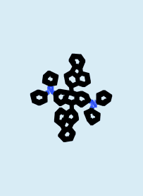 C1=CC2c3ccccc3C3=CC=C(c4c5cc(N(c6ccccc6)c6ccccc6)ccc5c(-c5ccc6c7c(cccc57)-c5ccccc5-6)c5cc(N(c6ccccc6)c6ccccc6)ccc45)C(=C1)C32